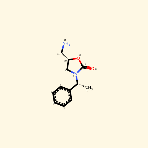 C[C@H](c1ccccc1)N1C[C@H](CN)OC1=O